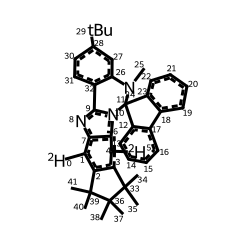 [2H]c1c2c(c([2H])c3c1nc1n3C3(c4ccccc4-c4ccccc43)N(C)c3cc(C(C)(C)C)ccc3-1)C(C)(C)C(C)(C)C2(C)C